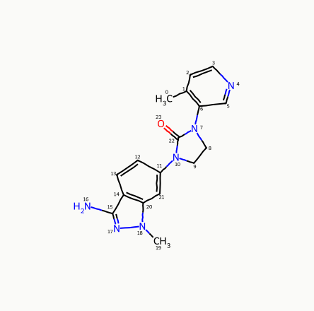 Cc1ccncc1N1CCN(c2ccc3c(N)nn(C)c3c2)C1=O